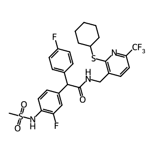 CS(=O)(=O)Nc1ccc(C(C(=O)NCc2ccc(C(F)(F)F)nc2SC2CCCCC2)c2ccc(F)cc2)cc1F